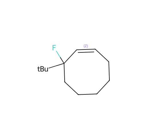 CC(C)(C)C1(F)/C=C\CCCCC1